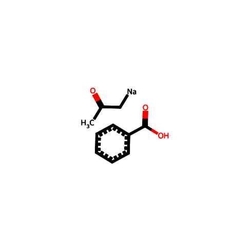 CC(=O)[CH2][Na].O=C(O)c1ccccc1